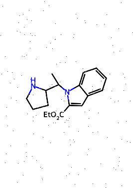 CCOC(=O)c1cc2ccccc2n1C(C)C1CCCN1